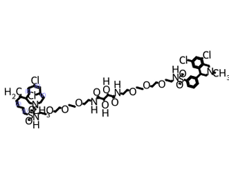 C=C(/C=C\C=C\S(=O)(=O)NCCOCCOCCOCCNC(=O)C(O)C(O)C(=O)NCCOCCOCCOCCNS(=O)(=O)c1cccc(C2CN(C)Cc3c(Cl)cc(Cl)cc32)c1)C1/C=C/C(Cl)=C\C(Cl)=C\CN(C)C1